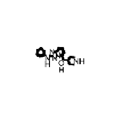 OC(c1cccc2nc(Nc3ccccc3)nn12)C1CCNCC1